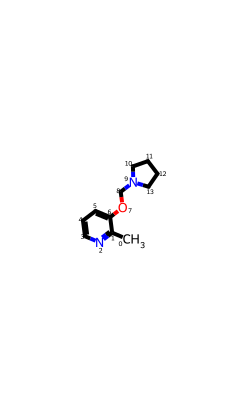 Cc1ncccc1OCN1CCCC1